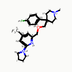 CN1CCC(COCc2cc(C(F)(F)F)cc(N3CCCC3)n2)(c2ccc(F)cc2)CC1